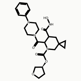 O=C(NO)C1CC2(CC2)CN(C(=O)O[C@H]2CCOC2)C1C(=O)N1CCN(c2ccccc2)CC1